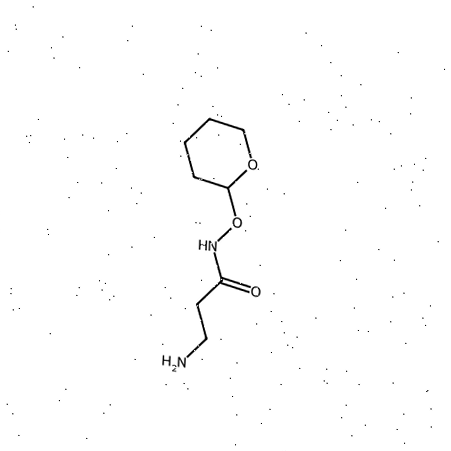 NCCC(=O)NOC1CCCCO1